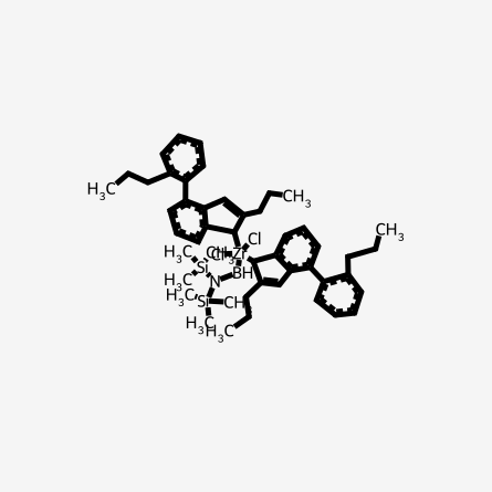 CCCC1=Cc2c(-c3ccccc3CCC)cccc2[CH]1[Zr]([Cl])([Cl])([BH]N([Si](C)(C)C)[Si](C)(C)C)[CH]1C(CCC)=Cc2c(-c3ccccc3CCC)cccc21